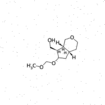 COCOC1C[C@H]2CCOC[C@H]2[C@@H]1CO